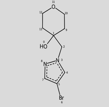 OC1(Cn2cc(Br)cn2)CCOCC1